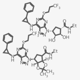 CCNC(=O)C1C[C@H](n2nnc3c(NC4CC4c4ccccc4)nc(SCCC(F)(F)F)nc32)[C@H]2OC(C)(C)O[C@@H]12.CCNC(=O)[C@H]1C[C@@H](n2nnc3c(NC4CC4c4ccccc4)nc(SCCC(F)(F)F)nc32)[C@H](O)[C@@H]1O